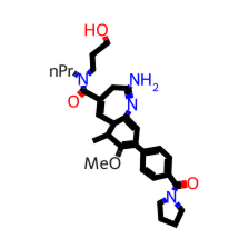 CCCN(CCCO)C(=O)C1=CC2C(=CC(c3ccc(C(=O)N4CCCC4)cc3)=C(OC)C2C)N=C(N)C1